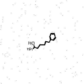 CCCC(O)CCCCCc1ccccc1